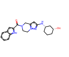 O=C(c1cc2ccccc2[nH]1)N1CCn2nc(N[C@H]3CCC[C@@H](O)C3)cc2C1